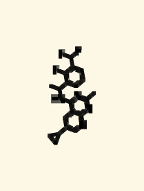 Cc1nc(NC(C)c2cccc(C(F)F)c2F)c2cc(C3CC3)cnc2n1